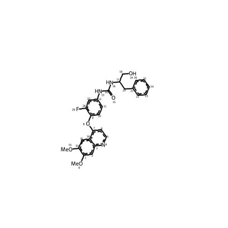 COc1cc2nccc(Oc3ccc(NC(=O)NC(CO)Cc4ccccc4)cc3F)c2cc1OC